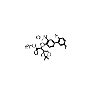 CC(C)OC(=O)C(Oc1ccc(-c2cc(F)ccc2F)cc1[N+](=O)[O-])C1COC(C)(C)O1